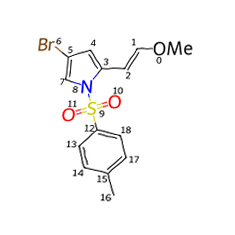 COC=Cc1cc(Br)cn1S(=O)(=O)c1ccc(C)cc1